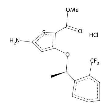 COC(=O)c1sc(N)cc1O[C@H](C)c1ccccc1C(F)(F)F.Cl